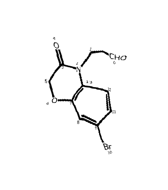 O=CCN1C(=O)COc2cc(Br)ccc21